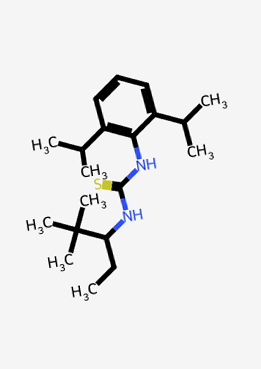 CCC(NC(=S)Nc1c(C(C)C)cccc1C(C)C)C(C)(C)C